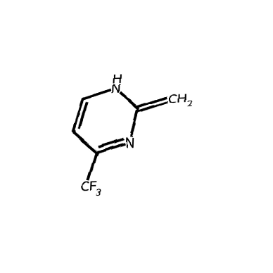 C=C1N=C(C(F)(F)F)C=CN1